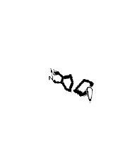 C1=COCC1.c1ccc2cnncc2c1